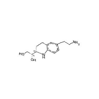 NCCc1ccc2c(c1)CC[C@@H]([C@H](O)CO)N2